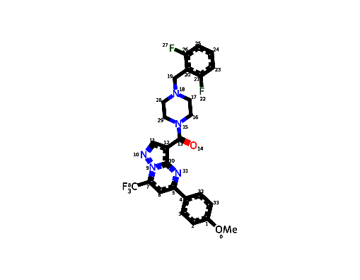 COc1ccc(-c2cc(C(F)(F)F)n3ncc(C(=O)N4CCN(Cc5c(F)cccc5F)CC4)c3n2)cc1